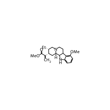 C=C(C(=O)OC)[C@H]1C[C@H]2C3Nc4cccc(OC)c4C3CCN2C[C@H]1CC